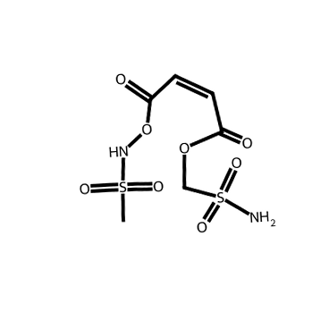 CS(=O)(=O)NOC(=O)/C=C\C(=O)OCS(N)(=O)=O